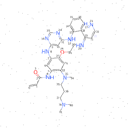 C=CC(=O)Nc1cc(Nc2cc(Nc3ccccc3C(=N)/C=C\N)ncn2)c(OCC)cc1N(C)CCCN(C)C